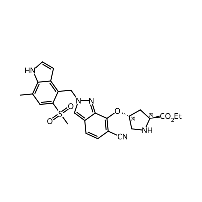 CCOC(=O)[C@@H]1C[C@@H](Oc2c(C#N)ccc3cn(Cc4c(S(C)(=O)=O)cc(C)c5[nH]ccc45)nc23)CN1